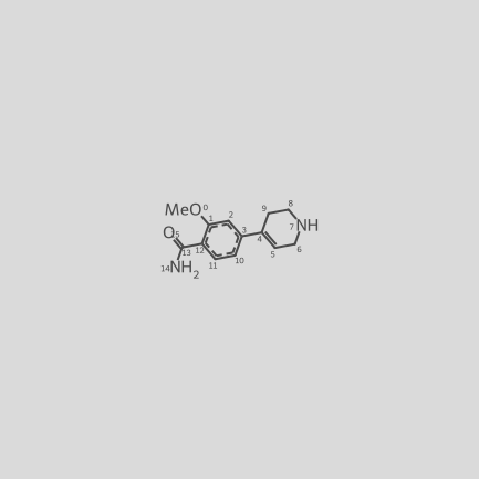 COc1cc(C2=CCNCC2)ccc1C(N)=O